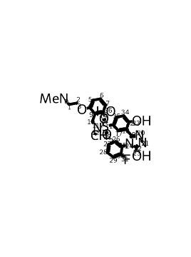 CNCCOc1ccccc1CN(C)S(=O)(=O)c1cc(-c2nnc(O)n2-c2ccccc2F)c(O)cc1O